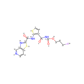 O=C(NC(=O)c1ccsc1NC(=O)c1nc2cnccc2s1)OCCCI